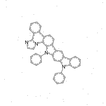 c1ccc(-n2c3ccccc3c3cc4c5ccc6c7ccccc7c7nccn7c6c5n(-c5ccccc5)c4cc32)cc1